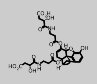 O=C(O)C[C@H](O)C(=O)NCCC(=O)OC1=CC[C@@]2(OC(=O)CCNC(=O)[C@@H](O)CC(=O)O)[C@@H]3CCC[C@@]24c2c(ccc(O)c2O[C@@H]14)C3